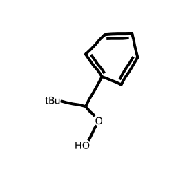 CC(C)(C)C(OO)c1ccccc1